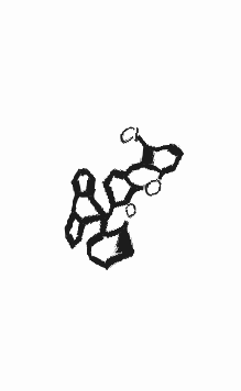 Clc1cccc2oc3c4c(ccc3c12)C1(c2ccccc2O4)c2ccccc2-c2ccccc21